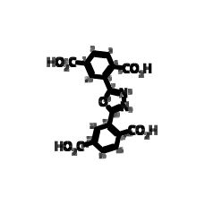 O=C(O)c1ccc(C(=O)O)c(-c2nnc(-c3cc(C(=O)O)ccc3C(=O)O)o2)c1